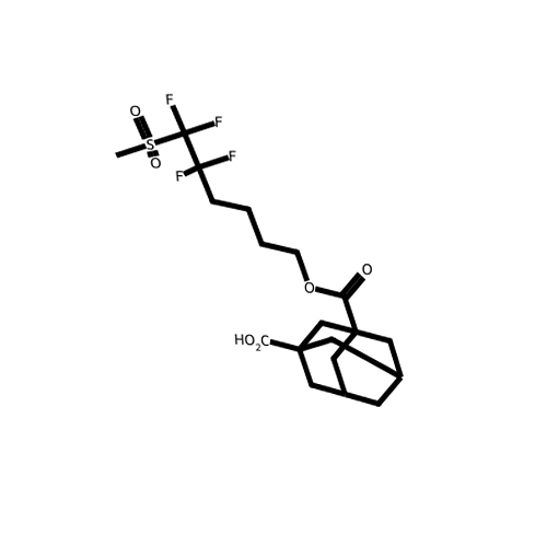 CS(=O)(=O)C(F)(F)C(F)(F)CCCCOC(=O)C12CC3CC(CC(C(=O)O)(C3)C1)C2